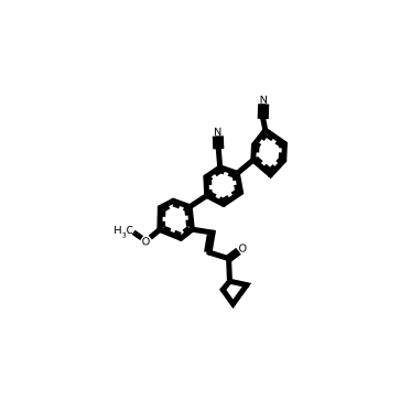 COc1ccc(-c2ccc(-c3cccc(C#N)c3)c(C#N)c2)c(/C=C/C(=O)C2CCC2)c1